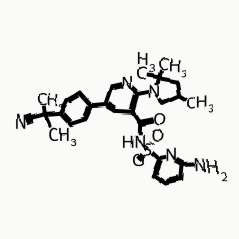 CC1CN(c2ncc(-c3ccc(C(C)(C)C#N)cc3)cc2C(=O)NS(=O)(=O)c2cccc(N)n2)C(C)(C)C1